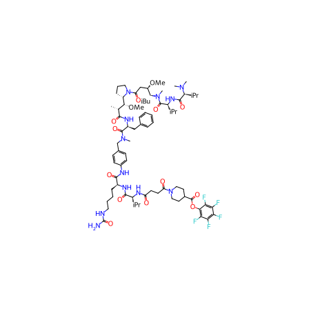 CC[C@H](C)[C@@H]([C@@H](CC(=O)N1CCC[C@H]1[C@H](OC)[C@@H](C)C(=O)N[C@@H](Cc1ccccc1)C(=O)N(C)Cc1ccc(NC(=O)[C@H](CCCCNC(N)=O)NC(=O)[C@@H](NC(=O)CCC(=O)N2CCC(C(=O)Oc3c(F)c(F)c(F)c(F)c3F)CC2)C(C)C)cc1)OC)N(C)C(=O)[C@@H](NC(=O)[C@H](C(C)C)N(C)C)C(C)C